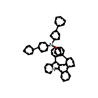 c1ccc(-c2ccc(N(c3ccc(-c4ccccc4)cc3)c3ccc(-c4cccc5c6ccccc6c6c(c(-c7ccccc7)c7ccccn76)c45)cc3)cc2)cc1